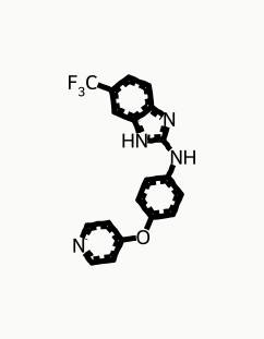 FC(F)(F)c1ccc2nc(Nc3ccc(Oc4ccncc4)cc3)[nH]c2c1